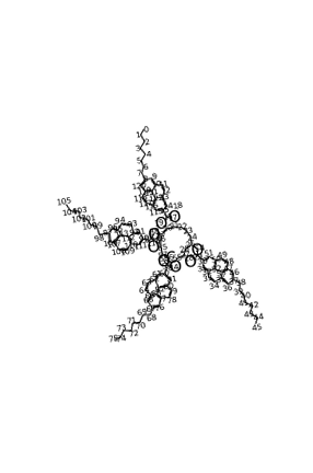 CCCCCCCCc1cc2ccc3cc(C(OC)OC4CCCCC5CC(OC(c6cc7ccc8cc(CCCCCCCC)cc9ccc(c6)c7c89)O5)C5CC(OC(c6cc7ccc8cc(CCCCCCCC)cc9ccc(c6)c7c89)O5)C5CC4OC(c4cc6ccc7cc(CCCCCCCC)cc8ccc(c4)c6c78)O5)cc4ccc(c1)c2c34